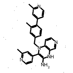 Cc1cc(C2=C(N)Nc3cnccc3N2Cc2ccc(-c3ccnc(C)c3)c(C)c2)ccn1